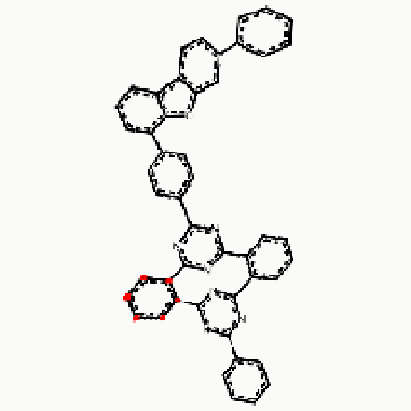 c1ccc(-c2ccc3c(c2)oc2c(-c4ccc(-c5nc(-c6ccccc6)nc(-c6ccccc6-c6nc(-c7ccccc7)nc(-c7ccccc7)n6)n5)cc4)cccc23)cc1